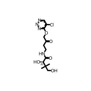 CC(C)(CO)[C@@H](O)C(=O)NCCC(=O)COc1nnncc1Cl